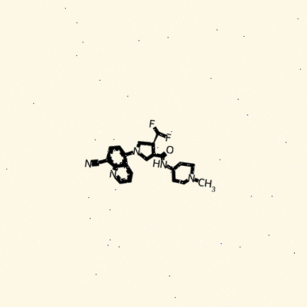 CN1CCC(NC(=O)C2CN(c3ccc(C#N)c4ncccc34)C[C@H]2C(F)F)CC1